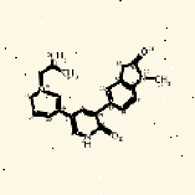 CC(C)CN1C=C(c2c[nH]c(=O)c(-c3ccc4c(c3)CC(=O)N4C)c2)C=CC1